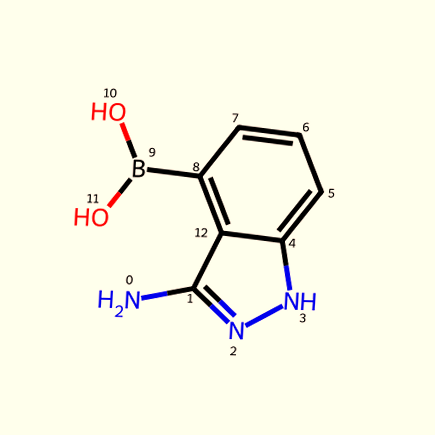 Nc1n[nH]c2cccc(B(O)O)c12